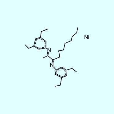 CCCCCCCCC(=N\c1cc(CC)cc(CC)c1)/C(C)=N/c1cc(CC)cc(CC)c1.[Ni]